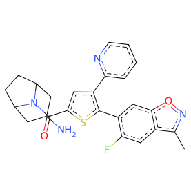 Cc1noc2cc(-c3sc(C(=O)N4C5CCC4CC(N)C5)cc3-c3ccccn3)c(F)cc12